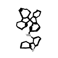 C1=CC2OC3=C(CCCC3)C2C(Nc2ccc3c(c2)C2(C4=CCCCC4C4C=CCCC42)C2=C3CCC=C2)=C1